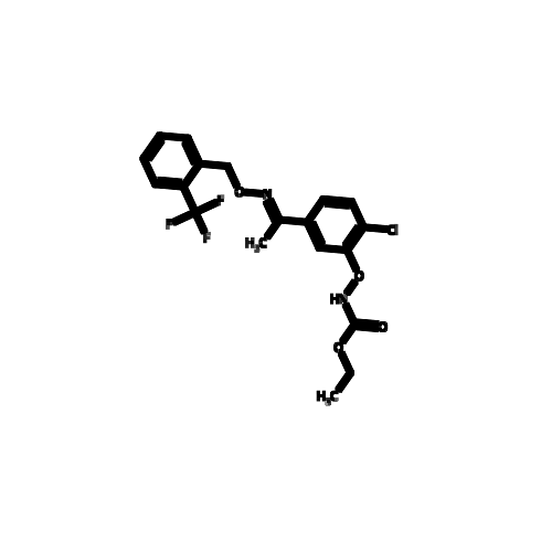 CCOC(=O)NOc1cc(/C(C)=N/OCc2ccccc2C(F)(F)F)ccc1Cl